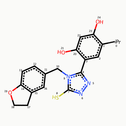 CC(C)c1cc(-c2nnc(S)n2Cc2ccc3c(c2)CCO3)c(O)cc1O